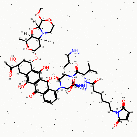 CO[C@H]1OCCN2[C@@H]1O[C@@H]1[C@H](C)O[C@@H](O[C@H]3C[C@](O)(C(C)=O)Cc4c(O)c5c(c(O)c43)C(=O)c3c(cccc3N(CC(N)=O)C(=O)[C@H](CCCN)N(C(N)=O)C(=O)[C@@H](NC(=O)CCCCCN3C(=O)C=CC3=O)C(C)C)C5=O)C[C@@H]12